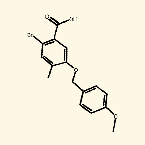 COc1ccc(COc2cc(C(=O)O)c(Br)cc2C)cc1